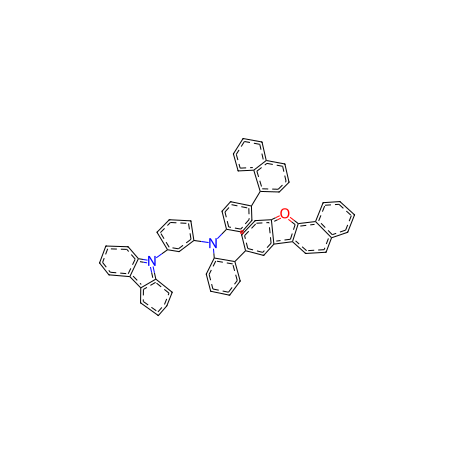 c1cc(N(c2ccc(-c3cccc4ccccc34)cc2)c2ccccc2-c2ccc3oc4c5ccccc5ccc4c3c2)cc(-n2c3ccccc3c3ccccc32)c1